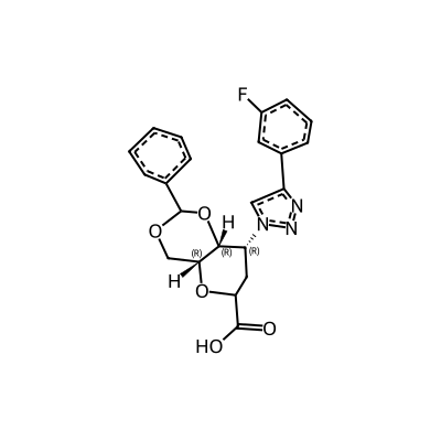 O=C(O)C1C[C@@H](n2cc(-c3cccc(F)c3)nn2)[C@H]2OC(c3ccccc3)OC[C@H]2O1